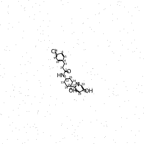 O=C(CCc1ccc(Cl)cc1)N[C@H]1CC[C@](O)(c2ccc(O)cn2)CC1